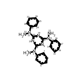 NN(c1ccccc1)c1nc(N(N)c2ccccc2)nc(N(N)c2ccccc2)n1